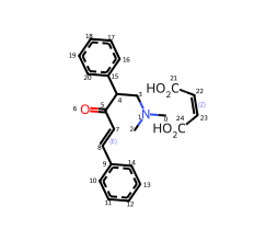 CN(C)CC(C(=O)/C=C/c1ccccc1)c1ccccc1.O=C(O)/C=C\C(=O)O